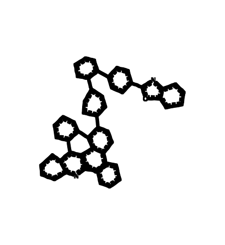 c1ccc(-c2nc(-c3ccccc3-c3c(-c4ccc(-c5ccccc5-c5ccc(-c6nc7ccccc7o6)cc5)cc4)ccc4ccccc34)c3ccccc3n2)cc1